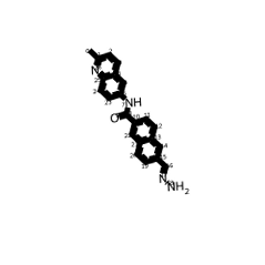 Cc1ccc2cc(NC(=O)c3ccc4cc(C=NN)ccc4c3)ccc2n1